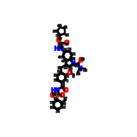 COc1cc(C(=O)NS(=O)(=O)c2ccccc2C)ccc1Cc1cn(C(=O)N(C)C)c2ccc(NC(=O)OC3CCCC3)cc12